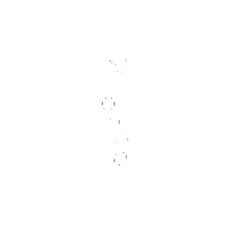 CCc1ccc(C(=O)N[C@@H](CNC(=O)c2ccc(OCCNC(=N)N)cc2O)C(=O)O)cc1